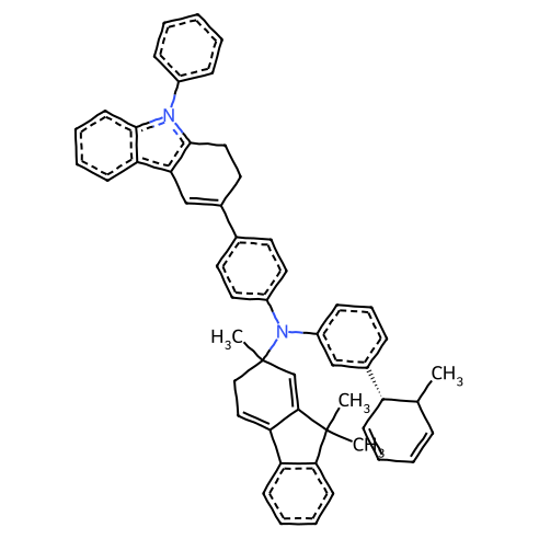 CC1C=CC=C[C@@H]1c1cccc(N(c2ccc(C3=Cc4c(n(-c5ccccc5)c5ccccc45)CC3)cc2)C2(C)C=C3C(=CC2)c2ccccc2C3(C)C)c1